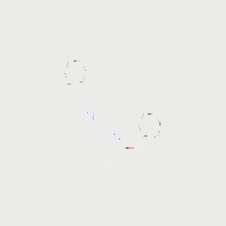 O=C1COCC2(CCN(CCc3ccccc3)CC2)N1Cc1ccccc1